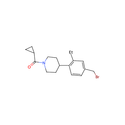 CCc1cc(CBr)ccc1C1CCN(C(=O)C2CC2)CC1